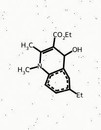 CCOC(=O)C1=C(C)N(C)c2ccc(CC)cc2C1O